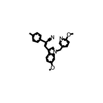 COc1ccc2c(/C=C(\C#N)c3ccc(C)cc3)cn(Cc3ccc(OC)nc3)c2c1